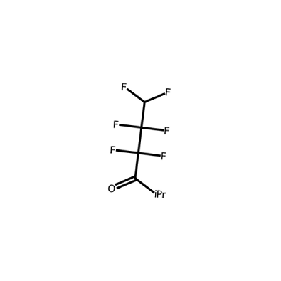 CC(C)C(=O)C(F)(F)C(F)(F)C(F)F